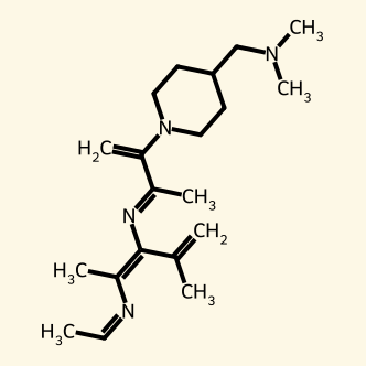 C=C(C)C(/N=C(\C)C(=C)N1CCC(CN(C)C)CC1)=C(C)\N=C/C